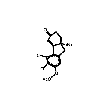 CCCCC12CCC(=O)C=C1c1c(cc(OOC(C)=O)c(Cl)c1Cl)C2